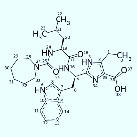 CCc1[nH]c([C@@H](Cc2c[nH]c3ccccc23)NC(=O)[C@H](CC(C)C)NC(=O)N2CCCCCC2)nc1C(=O)O